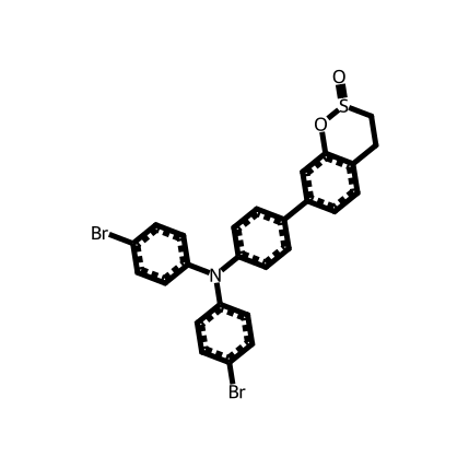 O=S1CCc2ccc(-c3ccc(N(c4ccc(Br)cc4)c4ccc(Br)cc4)cc3)cc2O1